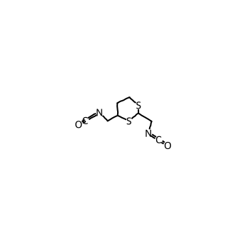 O=C=NCC1CCSC(CN=C=O)S1